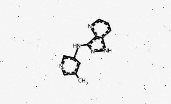 Cc1cncc(Nc2n[nH]c3cccnc23)c1